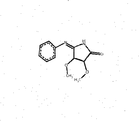 COC1C(=O)NC(=Nc2ccccc2)C1OC